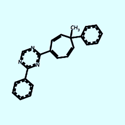 CC1(c2ccccc2)C=CC=C(c2ncnc(-c3ccccc3)n2)C=C1